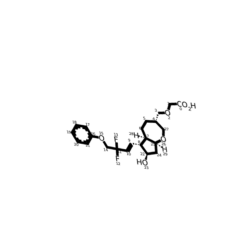 O=C(O)COC[C@H]1CC[C@@H]2[C@@H](/C=C/C(F)(F)COc3ccccc3)[C@H](O)C[C@@H]2OC1